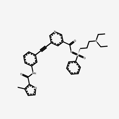 CCN(CC)CCC[S@@](=O)(=NC(=O)c1cncc(C#Cc2cccc(NC(=O)c3occc3C)c2)c1)c1ccccc1